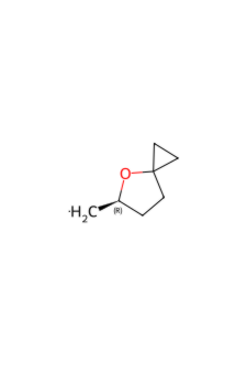 [CH2][C@@H]1CCC2(CC2)O1